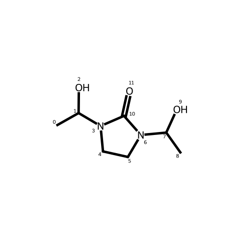 CC(O)N1CCN(C(C)O)C1=O